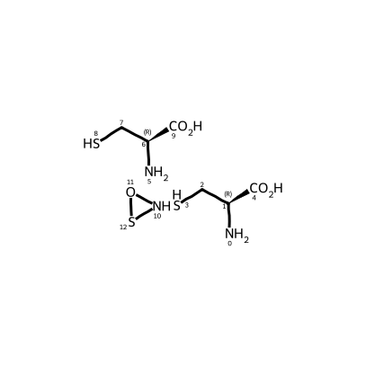 N[C@@H](CS)C(=O)O.N[C@@H](CS)C(=O)O.[nH]1os1